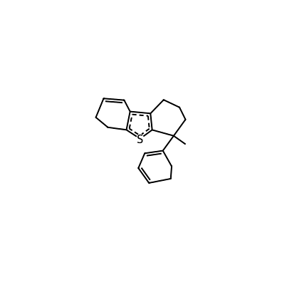 CC1(C2=CC=CCC2)CCCc2c1sc1c2C=CCC1